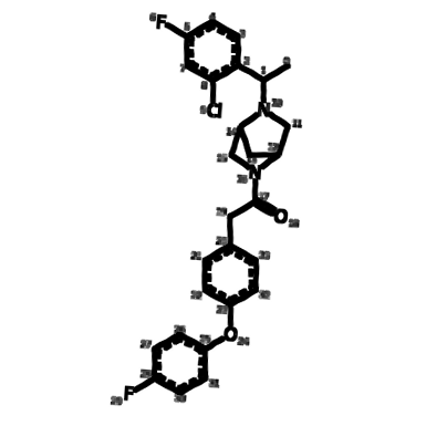 CC(c1ccc(F)cc1Cl)N1CC2CC1CN2C(=O)Cc1ccc(Oc2ccc(F)cc2)cc1